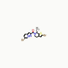 CC1c2sc(Br)cc2CCN1C(=O)c1cc2ccc(Br)cn2n1